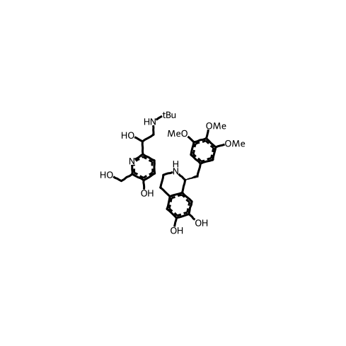 CC(C)(C)NCC(O)c1ccc(O)c(CO)n1.COc1cc(C[C@@H]2NCCc3cc(O)c(O)cc32)cc(OC)c1OC